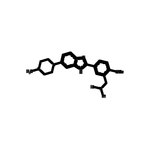 CCN(CC)Cc1cc(-c2nc3ccc(N4CCN(C)CC4)cc3[nH]2)ccc1OC